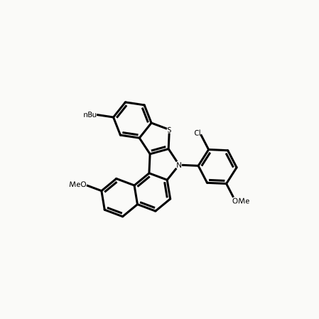 CCCCc1ccc2sc3c(c2c1)c1c2cc(OC)ccc2ccc1n3-c1cc(OC)ccc1Cl